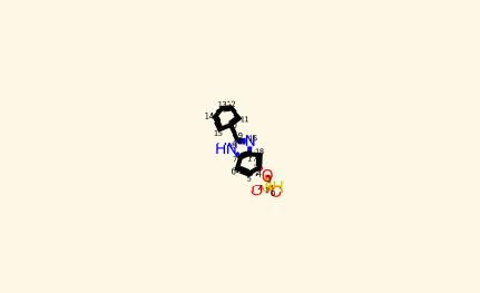 O=[SH](=O)Oc1ccc2[nH]c(-c3ccccc3)nc2c1